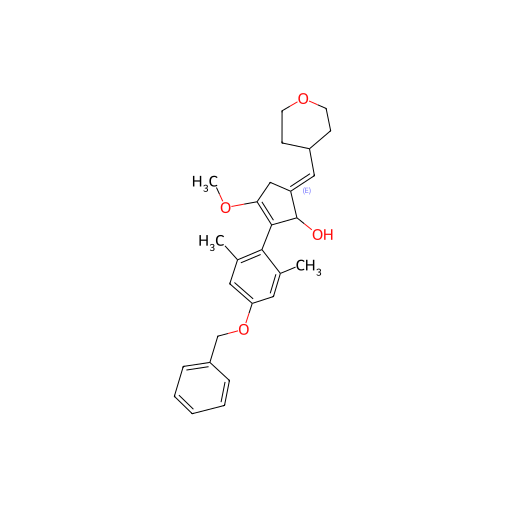 COC1=C(c2c(C)cc(OCc3ccccc3)cc2C)C(O)/C(=C/C2CCOCC2)C1